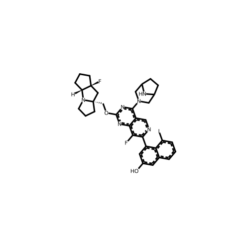 Oc1cc(-c2ncc3c(N4CC5CCC(C4)N5)nc(OC[C@]45CCCN4[C@@H]4CCC[C@]4(F)C5)nc3c2F)c2c(I)cccc2c1